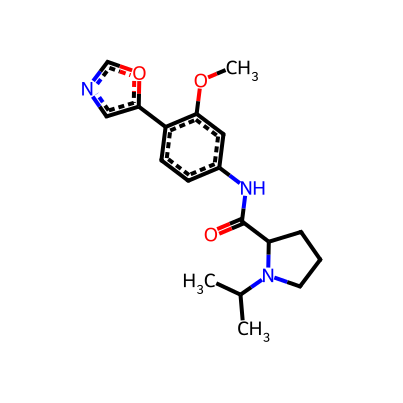 COc1cc(NC(=O)C2CCCN2C(C)C)ccc1-c1cnco1